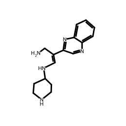 NC/C(=C\NC1CCNCC1)c1cnc2ccccc2n1